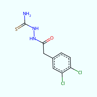 NC(=S)NNC(=O)Cc1ccc(Cl)c(Cl)c1